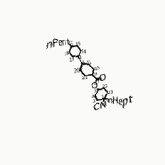 CCCCCCCC1(C#N)CCC(OC(=O)C2CCC(C3CCC(CCCCC)CC3)CC2)CC1